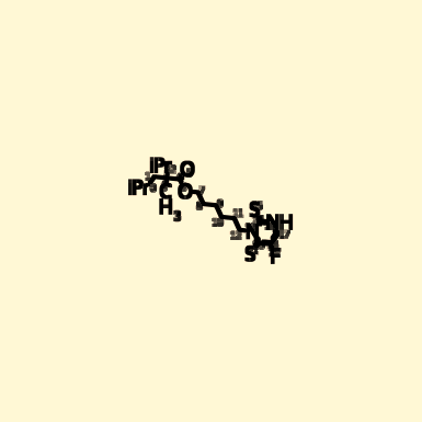 CC(C)CC(C)(C(=O)OCCCCCCn1c(=S)[nH]cc(F)c1=S)C(C)C